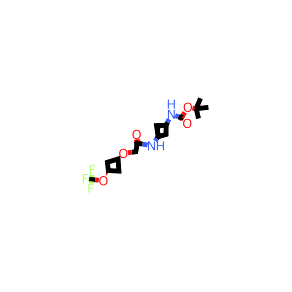 CC(C)(C)OC(=O)NC12CC(NC(=O)CO[C@H]3C[C@@H](OC(F)(F)F)C3)(C1)C2